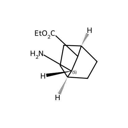 CCOC(=O)C1[C@H]2CC[C@H](CC2)[C@@H]1N